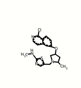 CNc1ncc(CN2CC(Oc3ccc4c(Cl)nccc4c3)CC2C)s1